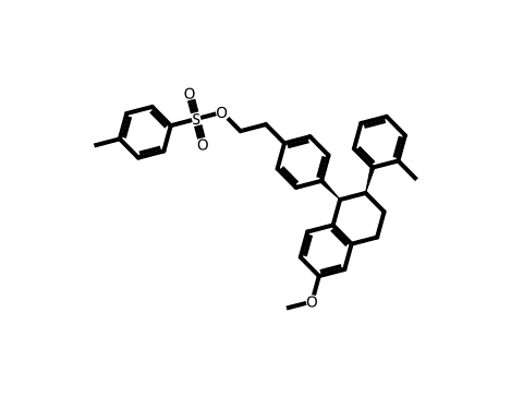 COc1ccc2c(c1)CC[C@H](c1ccccc1C)[C@@H]2c1ccc(CCOS(=O)(=O)c2ccc(C)cc2)cc1